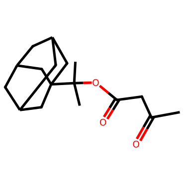 CC(=O)CC(=O)OC(C)(C)C12CC3CC(CC(C3)C1)C2